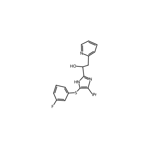 CC(C)c1nc(C(O)Cc2ccccn2)[nH]c1Sc1cccc(F)c1